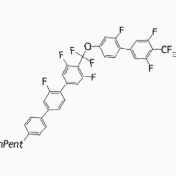 CCCCCc1ccc(-c2ccc(-c3cc(F)c(C(F)(F)Oc4ccc(-c5cc(F)c(C(F)(F)F)c(F)c5)c(F)c4)c(F)c3)c(F)c2)cc1